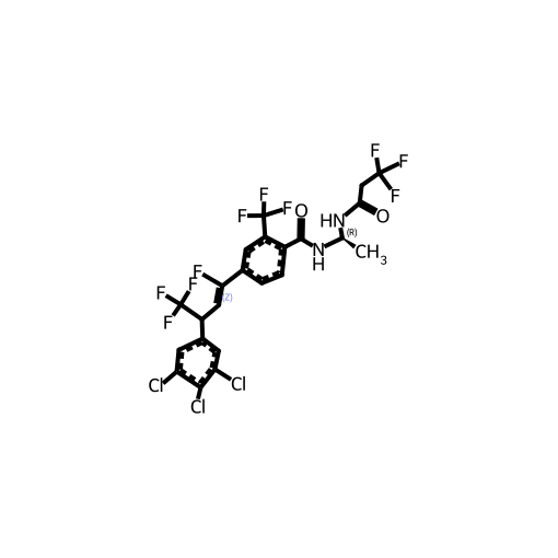 C[C@H](NC(=O)CC(F)(F)F)NC(=O)c1ccc(/C(F)=C/C(c2cc(Cl)c(Cl)c(Cl)c2)C(F)(F)F)cc1C(F)(F)F